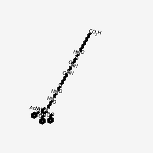 CC(=O)N[C@H]1CN(CCCCC(=O)NCCCNC(=O)CCOCCCCCC(=O)NCCCNC(=O)CCOCCNC(=O)CCCCCCCCCCC(=O)O)[C@H](COC(=O)c2ccccc2)[C@H](OC(=O)c2ccccc2)[C@@H]1OC(=O)c1ccccc1